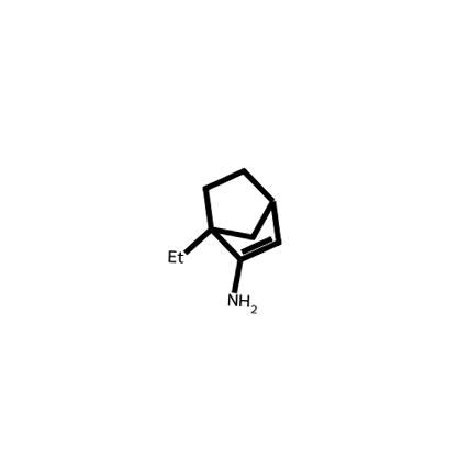 CCC12CCC(C=C1N)C2